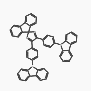 c1ccc2c(c1)-c1ccccc1C21N=C(c2ccc(-n3c4ccccc4c4ccccc43)cc2)C(c2ccc(-n3c4ccccc4c4ccccc43)cc2)=N1